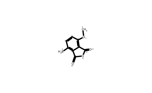 Bc1ccc(OC)c2c1C(=O)OC2=O